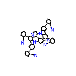 N#Cc1ccc(-n2c3ccc(-c4ccccc4C#N)cc3c3cc(-c4ccccc4C#N)ccc32)c(-c2cnccc2-n2c3ccc(-c4ccccc4C#N)cc3c3cc(-c4ccccc4C#N)ccc32)c1